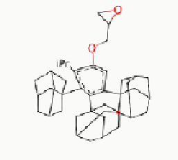 CC(C)c1c(OCC2CO2)cc(C23CC4CC(CC(C4)C2)C3)c(C23CC4CC(CC(C4)C2)C3)c1C12CC3CC(CC(C3)C1)C2